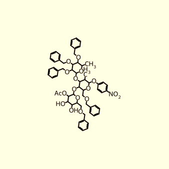 CC(=O)OC1C(OC2C(COCc3ccccc3)OC(Oc3ccc([N+](=O)[O-])cc3)C(C)C2OC2OC(C)C(OCc3ccccc3)C(OCc3ccccc3)C2OCc2ccccc2)OC(COCc2ccccc2)C(O)C1O